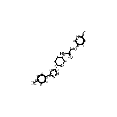 O=C(COc1ccc(Cl)nc1)N[C@H]1CC[C@@H](c2nnc(-c3ccc(Cl)cc3)o2)OC1